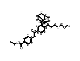 CCOC(=O)c1ccc(/C=C(\C)c2ccc(CCCOCOC)c(C34CC5CC(CC(C5)C3)C4)c2)cc1